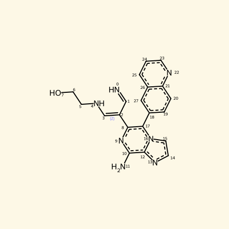 N=C/C(=C\NCCO)c1nc(N)c2nccn2c1-c1ccc2ncccc2c1